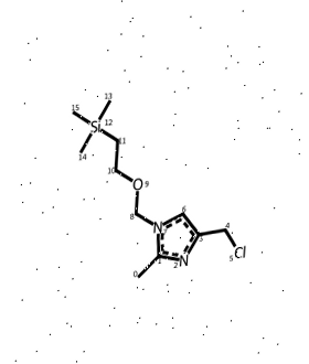 Cc1nc(CCl)cn1COCC[Si](C)(C)C